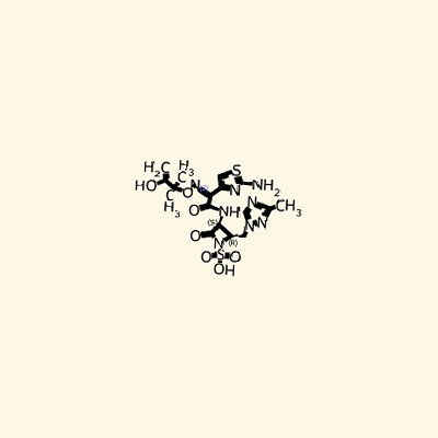 C=C(O)C(C)(C)O/N=C(\C(=O)N[C@@H]1C(=O)N(S(=O)(=O)O)[C@@H]1Cn1cnc(C)n1)c1csc(N)n1